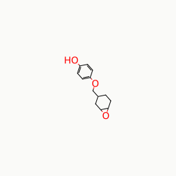 Oc1ccc(OCC2CCC3OC3C2)cc1